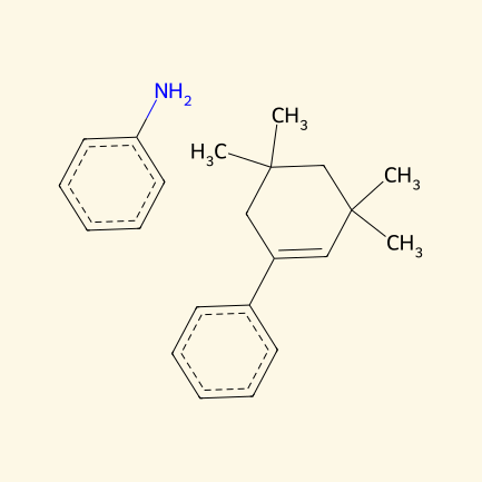 CC1(C)C=C(c2ccccc2)CC(C)(C)C1.Nc1ccccc1